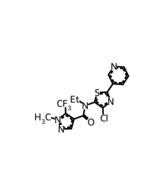 CCN(C(=O)c1cnn(C)c1C(F)(F)F)c1sc(-c2cccnc2)nc1Cl